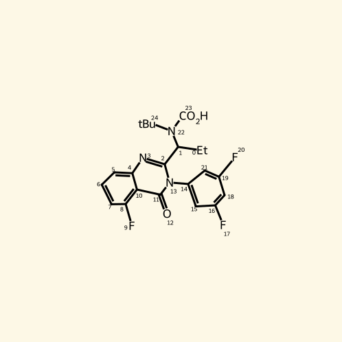 CCC(c1nc2cccc(F)c2c(=O)n1-c1cc(F)cc(F)c1)N(C(=O)O)C(C)(C)C